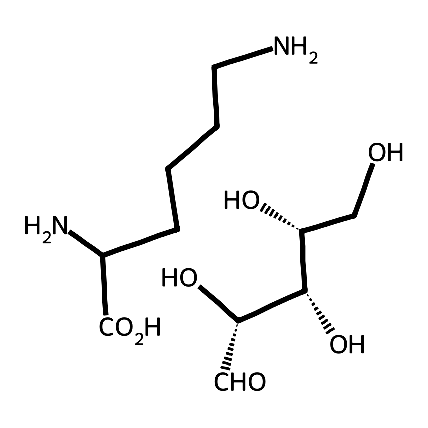 NCCCCC(N)C(=O)O.O=C[C@H](O)[C@@H](O)[C@H](O)CO